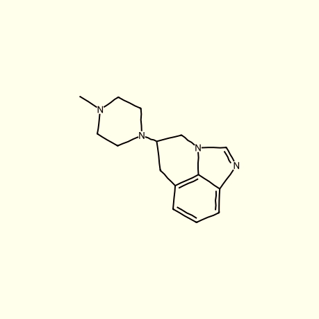 CN1CCN(C2Cc3cccc4ncn(c34)C2)CC1